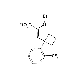 CCOC(=O)/C(=C/C1(c2ccccc2C(F)(F)F)CCC1)OCC